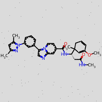 CNC(=O)C[C@H](NC(=O)c1ccn2c(-c3cccc(-n4nc(C)cc4C)c3)cnc2c1)C1(C)C=C(OC)C=CC1